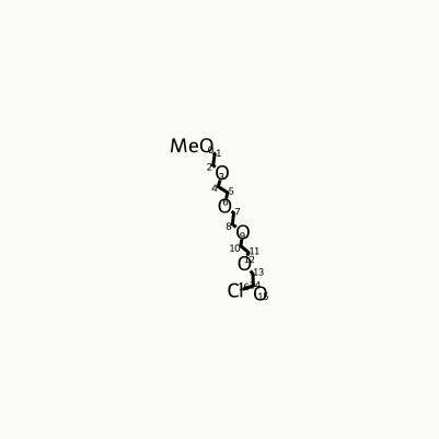 COCCOCCOCCOCCOCC(=O)Cl